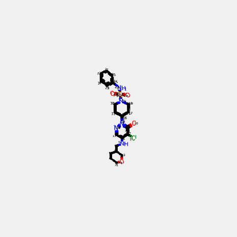 O=c1c(Cl)c(NCC2CCCOC2)cnn1C1CCN(S(=O)(=O)Nc2ccccc2)CC1